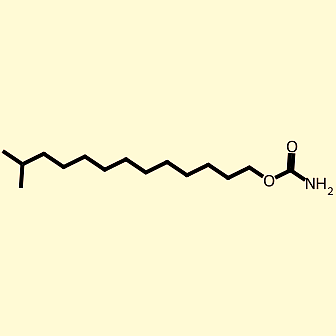 CC(C)CCCCCCCCCCCOC(N)=O